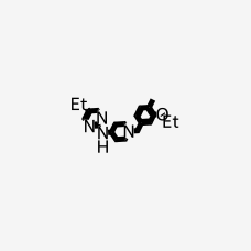 CCOc1cc(CN2CCC(Nc3ncc(CC)cn3)CC2)ccc1C